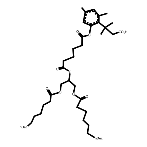 CCCCCCCCCCCCCCCC(=O)OCC(COC(=O)CCCCCCCCCCCCCCC)OC(=O)CCCCC(=O)Oc1cc(C)cc(C)c1C(C)(C)CC(=O)O